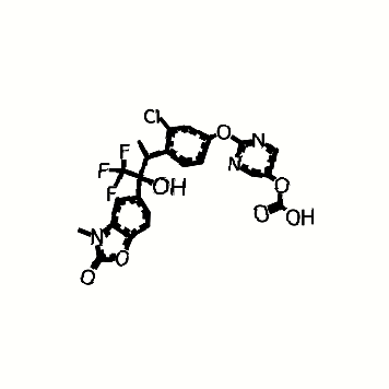 CC(c1ccc(Oc2ncc(OC(=O)O)cn2)cc1Cl)C(O)(c1ccc2oc(=O)n(C)c2c1)C(F)(F)F